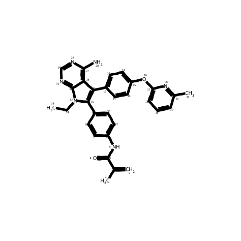 C=C(C)C(=O)Nc1ccc(-c2c(-c3ccc(Oc4cccc(C)n4)cc3)c3c(N)ncnc3n2CC)cc1